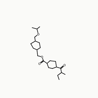 CCC(C)C(=O)C1CCC(C(=O)OCC2CCC(COC(C)C)CC2)CC1